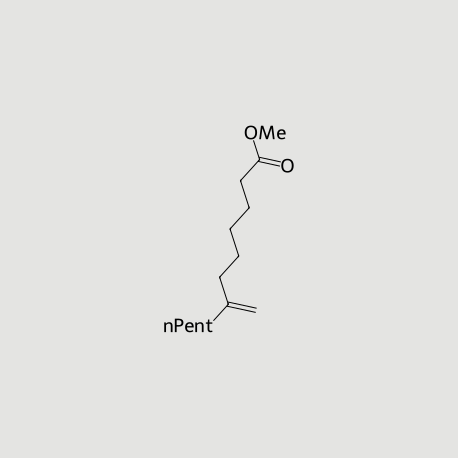 C=C(CCCCC)CCCCCC(=O)OC